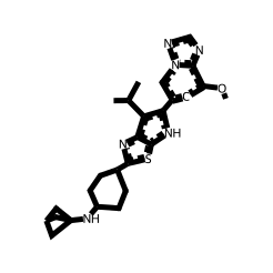 COc1cc(-c2[nH]c3sc(C4CCC(NC56CC(C5)C6)CC4)nc3c2C(C)C)cn2ncnc12